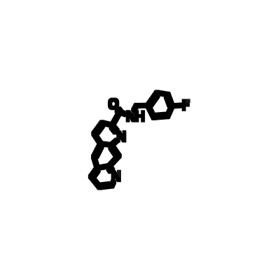 O=C(NCc1ccc(F)cc1)c1ccc2cc3cccnc3cc2n1